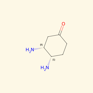 N[C@@H]1CC(=O)CC[C@@H]1N